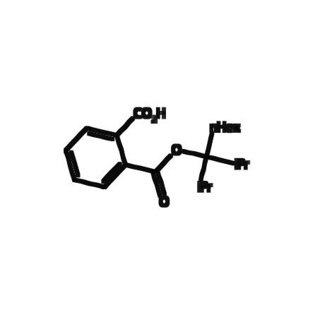 CCCCCCC(OC(=O)c1ccccc1C(=O)O)(C(C)C)C(C)C